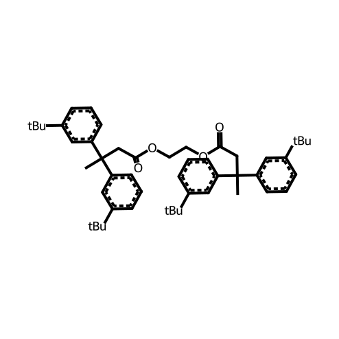 CC(C)(C)c1cccc(C(C)(CC(=O)OCCOC(=O)CC(C)(c2cccc(C(C)(C)C)c2)c2cccc(C(C)(C)C)c2)c2cccc(C(C)(C)C)c2)c1